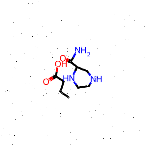 CCCC(=O)O.NC(=O)C1CNCCN1